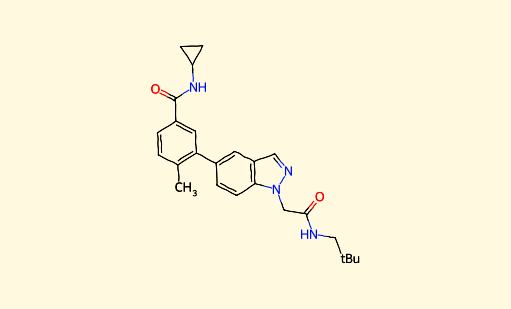 Cc1ccc(C(=O)NC2CC2)cc1-c1ccc2c(cnn2CC(=O)NCC(C)(C)C)c1